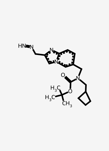 CC(C)(C)OC(=O)N(Cc1ccc2nc(CN=N)cn2c1)CC1CCC1